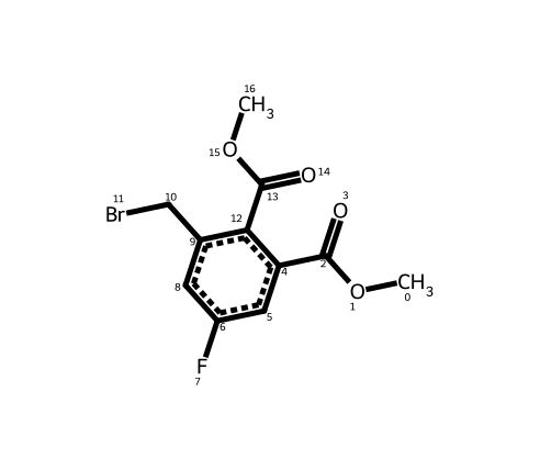 COC(=O)c1cc(F)cc(CBr)c1C(=O)OC